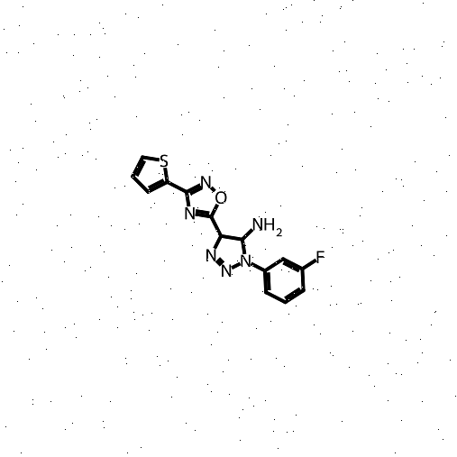 NC1C(c2nc(-c3cccs3)no2)N=NN1c1cccc(F)c1